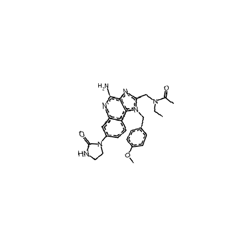 CCN(Cc1nc2c(N)nc3cc(N4CCNC4=O)ccc3c2n1Cc1ccc(OC)cc1)C(C)=O